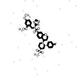 COc1ccc(CN(c2ncns2)S(=O)(=O)c2ccc3c(c2)OCCC3N2CC[C@@H](S(C)(=O)=O)C[C@H]2c2ccc(F)cc2)c(OC)c1